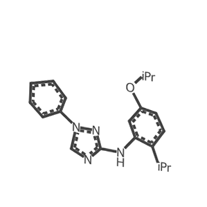 CC(C)Oc1ccc(C(C)C)c(Nc2ncn(-c3ccccc3)n2)c1